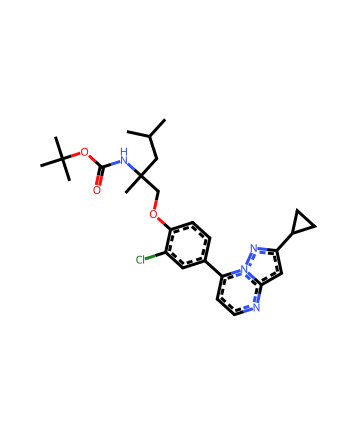 CC(C)CC(C)(COc1ccc(-c2ccnc3cc(C4CC4)nn23)cc1Cl)NC(=O)OC(C)(C)C